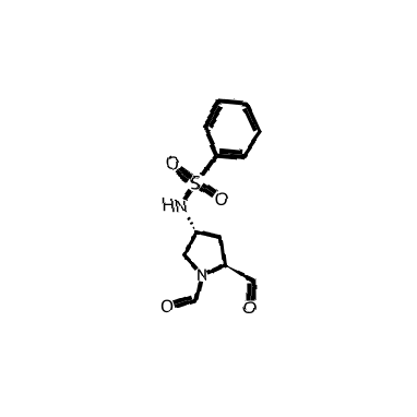 O=C[C@@H]1C[C@@H](NS(=O)(=O)c2ccccc2)CN1C=O